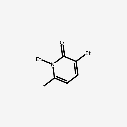 CCc1ccc(C)n(CC)c1=O